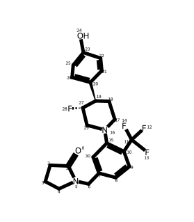 O=C1CCCN1Cc1ccc(C(F)(F)F)c(N2CC[C@H](c3ccc(O)cc3)[C@@H](F)C2)c1